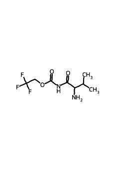 CC(C)C(N)C(=O)NC(=O)OCC(F)(F)F